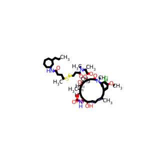 CCCC1CCCCC(NC(=O)CCC(C)SSCCC(=O)N(C)[C@@H](C)C(=O)O[C@H]2CC(=O)N(C)c3cc(cc(OC)c3Cl)C/C(C)=C/C=C/[C@@H](O)[C@@]3(O)C[C@H](OC(=O)N3)[C@@H](C)[C@@H]3O[C@@]23C)C1